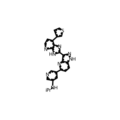 CC(C)Nc1cncc(-c2ccc3[nH]nc(-c4nc5c(-c6ccsc6)ccnc5[nH]4)c3n2)c1